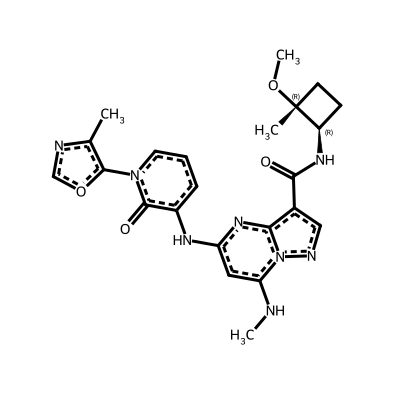 CNc1cc(Nc2cccn(-c3ocnc3C)c2=O)nc2c(C(=O)N[C@@H]3CC[C@@]3(C)OC)cnn12